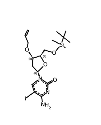 C=CCO[C@@H]1C[C@H](n2cc(I)c(N)nc2=O)O[C@@H]1CO[Si](C)(C)C(C)(C)C